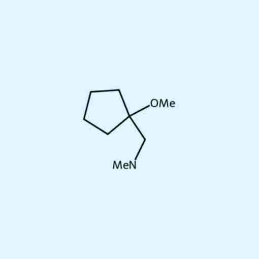 CNCC1(OC)CCCC1